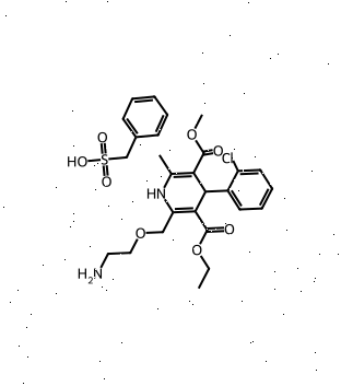 CCOC(=O)C1=C(COCCN)NC(C)=C(C(=O)OC)C1c1ccccc1Cl.O=S(=O)(O)Cc1ccccc1